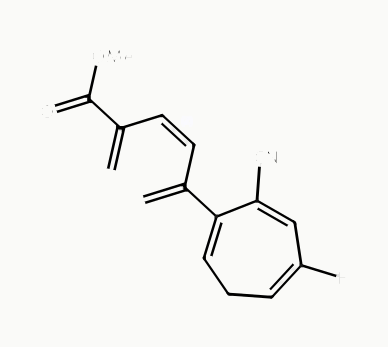 C=C(/C=C\C(=C)C1=CCC=C(F)C=C1C#N)C(=O)OC